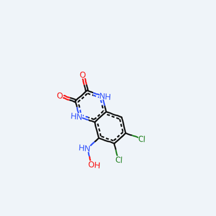 O=c1[nH]c2cc(Cl)c(Cl)c(NO)c2[nH]c1=O